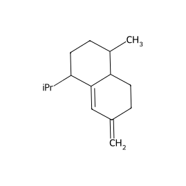 C=C1C=C2C(C(C)C)CCC(C)C2CC1